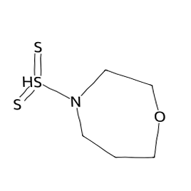 S=[SH](=S)N1CCCOCC1